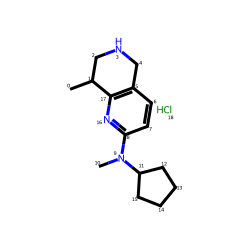 CC1CNCc2ccc(N(C)C3CCCC3)nc21.Cl